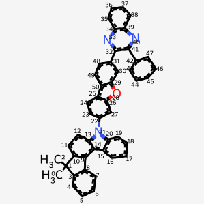 CC1(C)c2ccccc2-c2c1ccc1c2c2ccccc2n1-c1ccc2c(c1)oc1cc(-c3nc4ccccc4nc3-c3ccccc3)ccc12